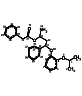 CC(C)Oc1ccccc1OC(CC(N)OC(=O)Cc1ccccc1)c1ccccc1